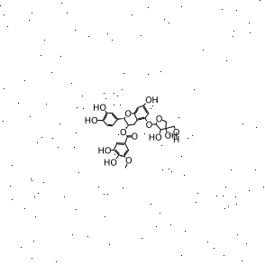 COc1cc(C(=O)O[C@@H]2Cc3c(OC4OCC(O)(CO)C4O)cc(O)cc3O[C@@H]2c2ccc(O)c(O)c2)cc(O)c1O